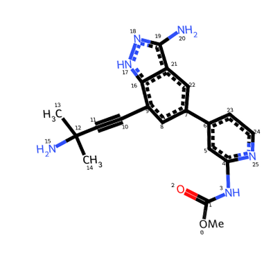 COC(=O)Nc1cc(-c2cc(C#CC(C)(C)N)c3[nH]nc(N)c3c2)ccn1